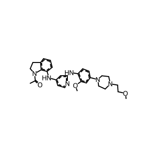 COCCN1CCN(c2ccc(Nc3cc(Nc4cccc5c4N(C(C)=O)CC5)ccn3)c(OC)c2)CC1